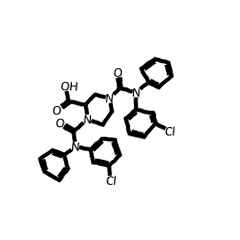 O=C(O)C1CN(C(=O)N(c2ccccc2)c2cccc(Cl)c2)CCN1C(=O)N(c1ccccc1)c1cccc(Cl)c1